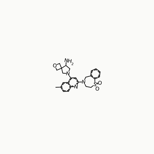 Cc1ccc2nc(N3CCS(=O)(=O)c4ccccc4C3)cc(N3CC(N)C4(COC4)C3)c2c1